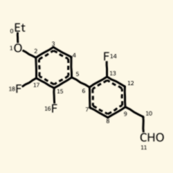 CCOc1ccc(-c2ccc(CC=O)cc2F)c(F)c1F